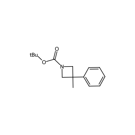 CC(C)(C)OC(=O)N1CC(C)(c2ccccc2)C1